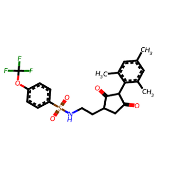 Cc1cc(C)c(C2C(=O)CC(CCNS(=O)(=O)c3ccc(OC(F)(F)F)cc3)C2=O)c(C)c1